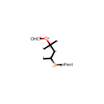 CCCCCSC(C)CC(C)(C)OC=O